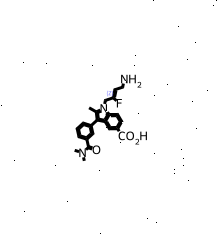 Cc1c(-c2cccc(C(=O)N(C)C)c2)c2cc(C(=O)O)ccc2n1C/C(F)=C/CN